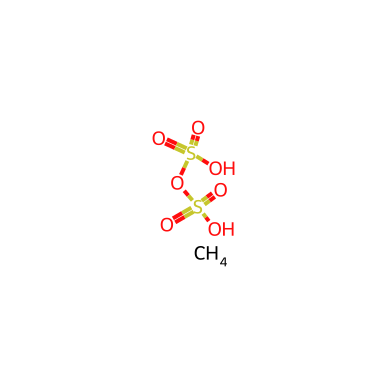 C.O=S(=O)(O)OS(=O)(=O)O